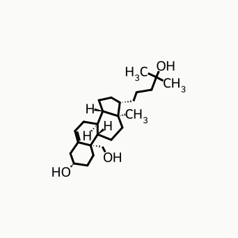 CC(C)(O)CCC[C@H]1CC[C@H]2[C@@H]3CC=C4C[C@@H](O)CC[C@]4(CO)[C@H]3CC[C@]12C